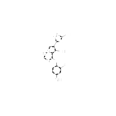 Cc1nnc(-c2cn3ncnc(Oc4ccc(N)cc4F)c3c2C)o1